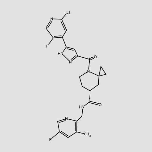 CCc1cc(-c2cc(C(=O)N3CC[C@@H](C(=O)NCc4ncc(F)cc4C)CC34CC4)n[nH]2)c(F)cn1